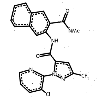 CNC(=O)c1cc2ccccc2cc1NC(=O)c1cc(C(F)(F)F)nn1-c1ncccc1Cl